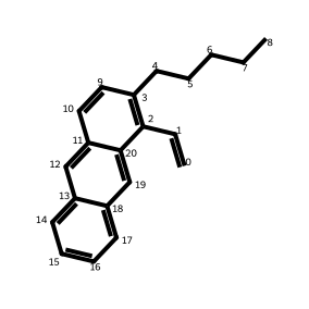 C=Cc1c(CCCCC)ccc2cc3ccccc3cc12